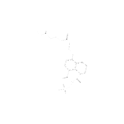 COC(=O)CCSC(=O)CCSc1ccc2c3c(cccc13)C(=O)N(OS(C)(=O)=O)C2=O